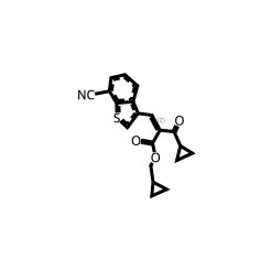 N#Cc1cccc2c(/C=C(\C(=O)OCC3CC3)C(=O)C3CC3)csc12